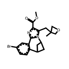 COC(=O)c1nc2n(c1CC1(C)COC1)C1CC(C1)c1ccc(Br)cc1-2